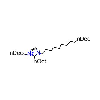 CCCCCCCCCCCCCCCCCCCn1cc[n+](CCCCCCCCCCC)c1CCCCCCCC